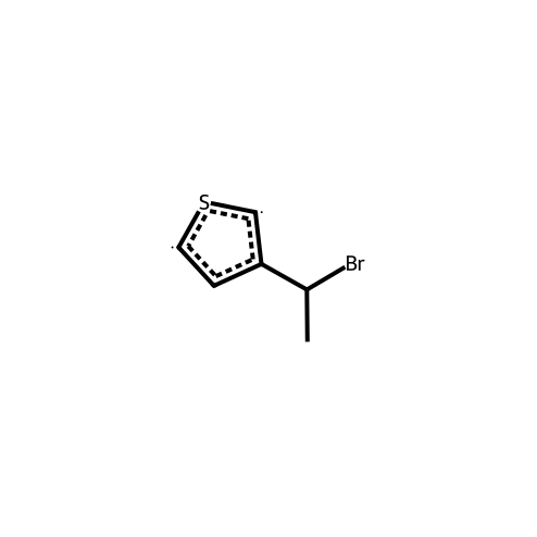 CC(Br)c1[c]s[c]c1